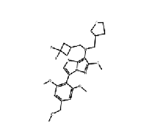 COCc1cc(OC)c(-c2csc3c(N(CC4CCOC4)CC4CC(F)(F)C4)c(OC)nn23)c(OC)c1